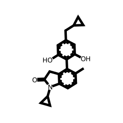 Cc1ccc2c(c1-c1c(O)cc(CC3CC3)cc1O)CC(=O)N2C1CC1